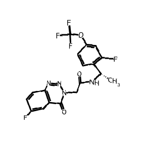 C[C@H](NC(=O)Cn1nnc2ccc(F)cc2c1=O)c1ccc(OC(F)(F)F)cc1F